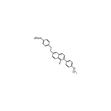 CCCCCc1ccc(CCc2ccc3c(F)c(-c4ccc(OC(F)(F)F)cc4)ccc3c2)cc1